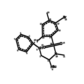 CCCCC(CNc1ccccc1)N(C)S(=O)(=O)c1cc(Br)c(C)cc1F